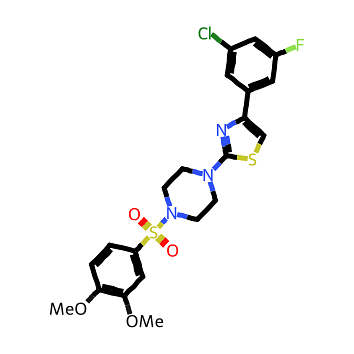 COc1ccc(S(=O)(=O)N2CCN(c3nc(-c4cc(F)cc(Cl)c4)cs3)CC2)cc1OC